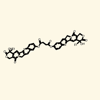 CCC1(O)C(=O)OCc2c1cc1n(c2=O)Cc2cc3cc(OC(=O)CCC(=O)Oc4ccc5nc6c(cc5c4)Cn4c-6cc5c(c4=O)COC(=O)C5(O)CC)ccc3nc2-1